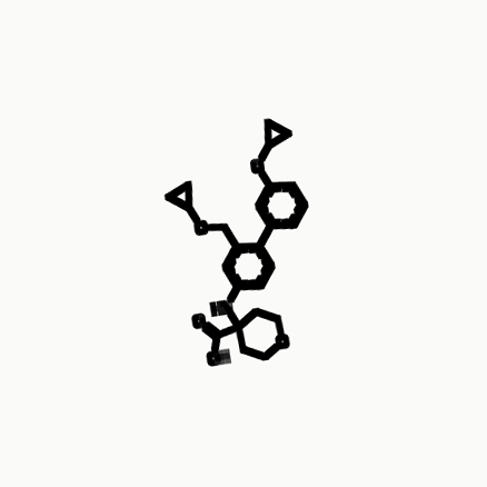 O=C(O)C1(Nc2ccc(-c3cccc(OC4CC4)c3)c(COC3CC3)c2)CCOCC1